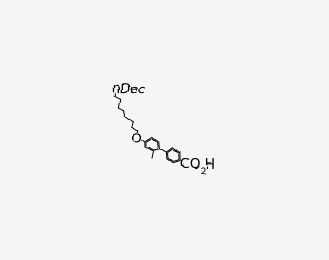 CCCCCCCCCCCCCCCCCCOc1ccc(-c2ccc(C(=O)O)cc2)c(C)c1